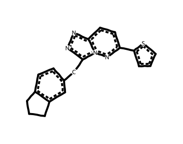 c1csc(-c2ccc3nnc(Cc4ccc5c(c4)CCC5)n3n2)c1